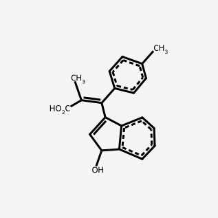 C/C(C(=O)O)=C(/C1=CC(O)c2ccccc21)c1ccc(C)cc1